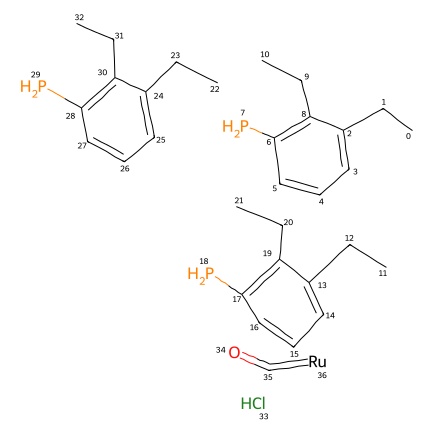 CCc1cccc(P)c1CC.CCc1cccc(P)c1CC.CCc1cccc(P)c1CC.Cl.O=[C]=[Ru]